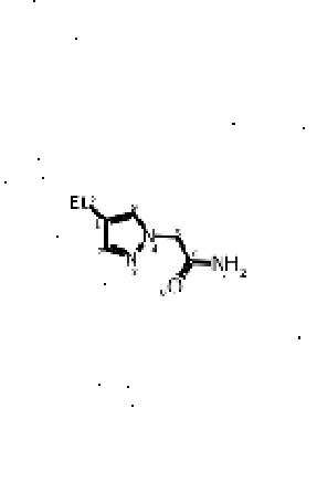 CCc1cnn(CC(N)=O)c1